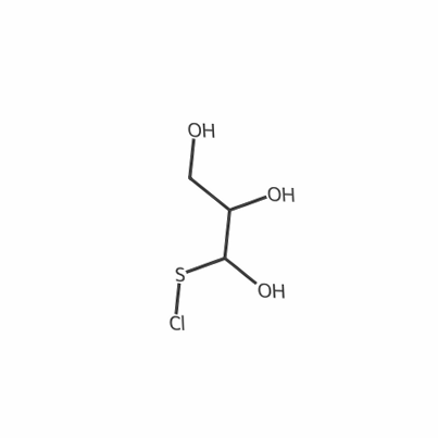 OCC(O)C(O)SCl